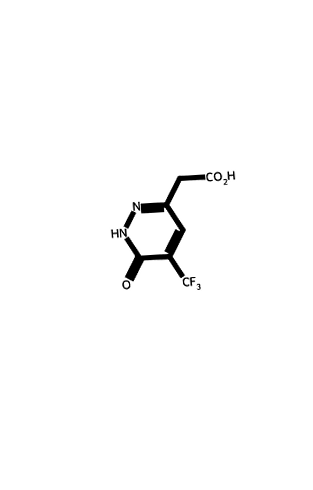 O=C(O)Cc1cc(C(F)(F)F)c(=O)[nH]n1